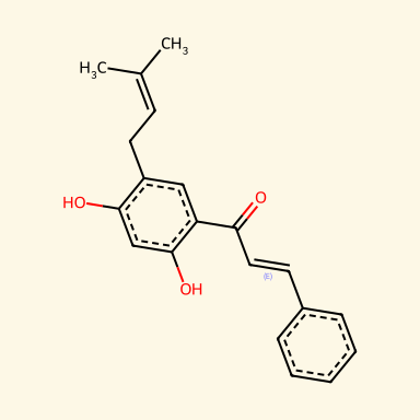 CC(C)=CCc1cc(C(=O)/C=C/c2ccccc2)c(O)cc1O